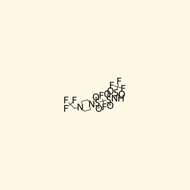 O=S(=O)(NS(=O)(=O)C(F)(F)S(=O)(=O)N1CCN(CC(F)(F)F)CC1)C(F)(F)F